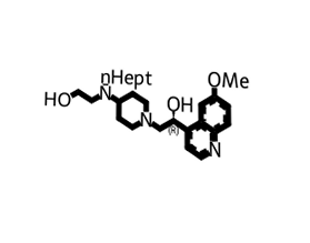 CCCCCCCN(CCO)C1CCN(C[C@H](O)c2ccnc3ccc(OC)cc23)CC1